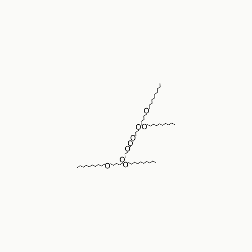 CCCCCCCCCCOCCCCC(OCCCCCCCCCC)OCCCOCOCOCCCOC(CCCCOCCCCCCCCCC)OCCCCCCCCCC